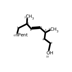 CCCCCCC(C)C=CC(C)CCO